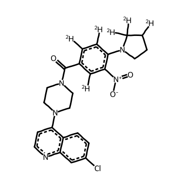 [2H]c1c([2H])c(N2CCC([2H])C2([2H])[2H])c([N+](=O)[O-])c([2H])c1C(=O)N1CCN(c2ccnc3cc(Cl)ccc23)CC1